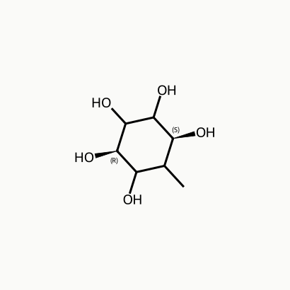 CC1C(O)[C@@H](O)C(O)C(O)[C@H]1O